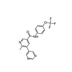 Cc1ncc(C(=O)Nc2ccc(OC(F)(F)F)cc2)cc1-c1cncnc1